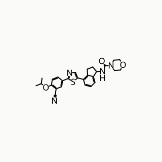 CC(C)Oc1ccc(-c2ncc(-c3cccc4c3CCC4NC(=O)N3CCOCC3)s2)cc1C#N